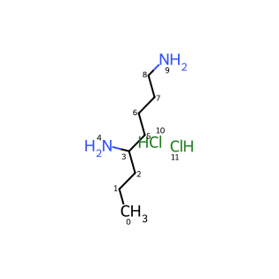 CCCC(N)CCCCN.Cl.Cl